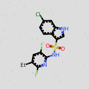 CCc1cc(F)c(NS(=O)(=O)c2c[nH]c3cc(Cl)ccc23)nc1F